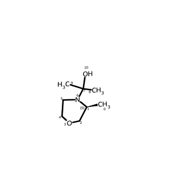 C[C@H]1COCCN1C(C)(C)O